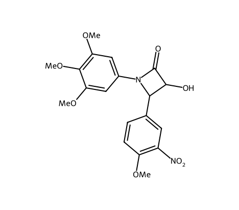 COc1ccc(C2C(O)C(=O)N2c2cc(OC)c(OC)c(OC)c2)cc1[N+](=O)[O-]